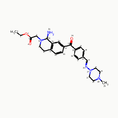 CCOC(=O)CN1CCc2ccc(C(=O)c3ccc(C=NN4CCN(C)CC4)cc3)cc2C1N